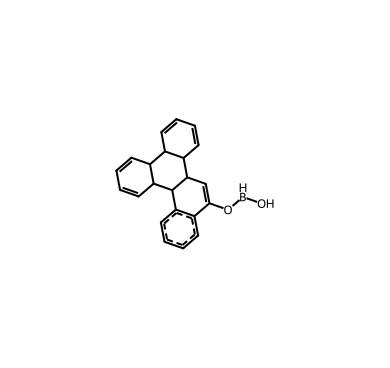 OBOC1=CC2C3C=CC=CC3C3C=CC=CC3C2c2ccccc21